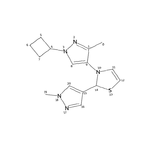 Cc1nn(C2CCC2)cc1N1C=CSC1c1cnn(C)c1